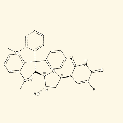 COc1ccccc1C(c1ccccc1)(c1ccccc1OC)C(O)[C@H]1O[C@@H](n2cc(F)c(=O)[nH]c2=O)C[C@@H]1O